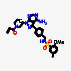 C=CC(=O)N1CCC[C@@H](n2nc(-c3ccc(CNS(=O)(=O)c4cc(C)ccc4OC)cc3)c3c(N)ncnc32)C1